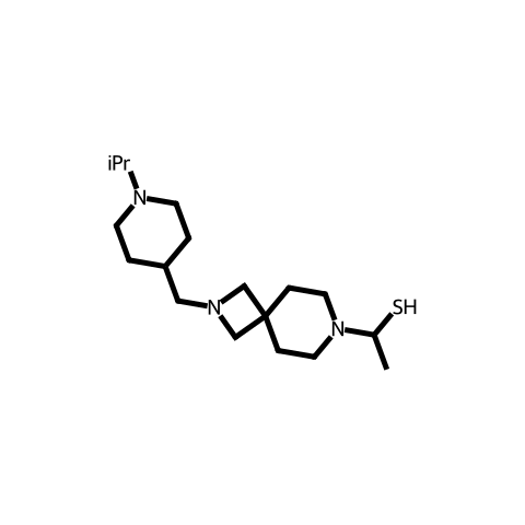 CC(C)N1CCC(CN2CC3(CCN(C(C)S)CC3)C2)CC1